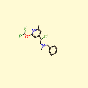 Cc1cc(C(Cl)CN(C)Cc2ccccc2)cc(OC(F)F)n1